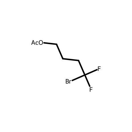 CC(=O)OCCCC(F)(F)Br